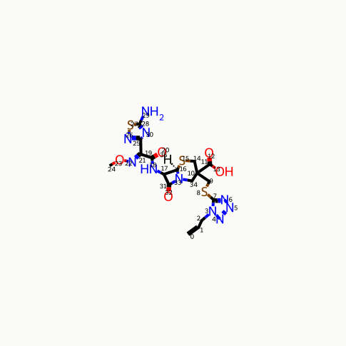 C=CCn1nnnc1SCC1(C(=O)O)CS[C@@H]2C(NC(=O)C(=NOC)c3nsc(N)n3)C(=O)N2C1